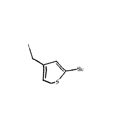 CC(C)(C)c1cc(CI)cs1